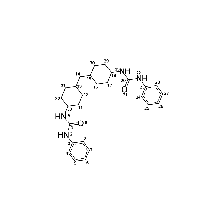 O=C(Nc1ccccc1)NC1CCC(CC2CCC(NC(=O)Nc3ccccc3)CC2)CC1